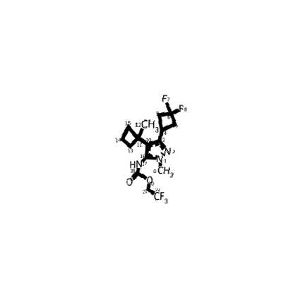 Cn1nc(C2CC(F)(F)C2)c(C2(C)CCC2)c1NC(=O)OCC(F)(F)F